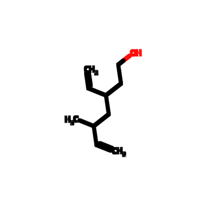 C=CC(C)CC(C=C)CCO